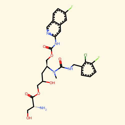 CN(C(=O)NCc1cccc(F)c1Cl)[C@H](COC(=O)Nc1cc2cc(F)ccc2cn1)CC(O)COC(=O)[C@H](N)CO